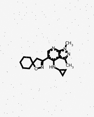 Cc1nn(C)c2ncc(C3=NOC4(CCCCC4)C3)c(NC3CC3)c12